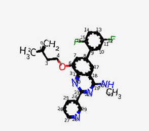 C=C(C)CCOc1cc(-c2cc(F)ccc2F)cc2c(NC)nc(-c3cccnc3)nc12